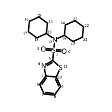 O=S(=O)(c1nc2ccccc2s1)N(C1CCCCC1)C1CCCCC1